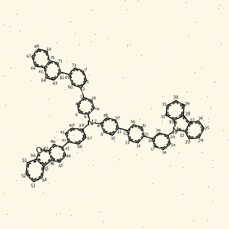 c1cc(-c2ccc(N(c3ccc(-c4ccc(-c5cccc(-n6c7ccccc7c7ccccc76)c5)cc4)cc3)c3ccc(-c4ccc5c(c4)oc4ccccc45)cc3)cc2)cc(-c2ccc3ccccc3c2)c1